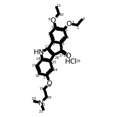 CCOc1cc2c(cc1OCC)-c1[nH]c3ccc(OCCN(C)C)cc3c1C2=O.Cl